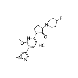 COc1nc(N2CCC(N3CCC(F)CC3)C2=O)ccc1-c1cn[nH]c1.Cl